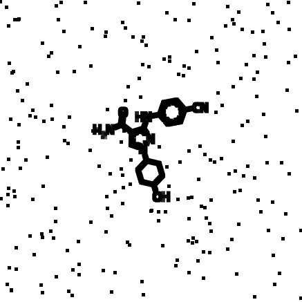 N#Cc1ccc(Nc2nn(C3CCC(O)CC3)cc2C(N)=O)cc1